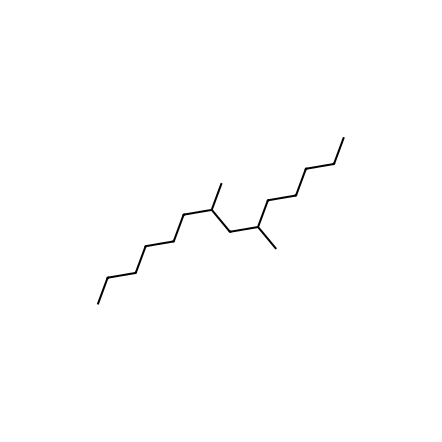 CCCCCCC(C)CC(C)CCCCC